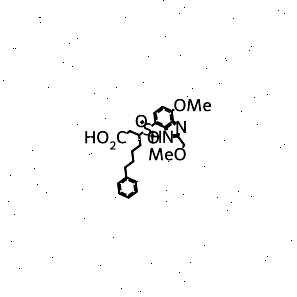 COCc1nc2c(OC)ccc(S(=O)(=O)C(CCCCc3ccccc3)CC(=O)O)c2[nH]1